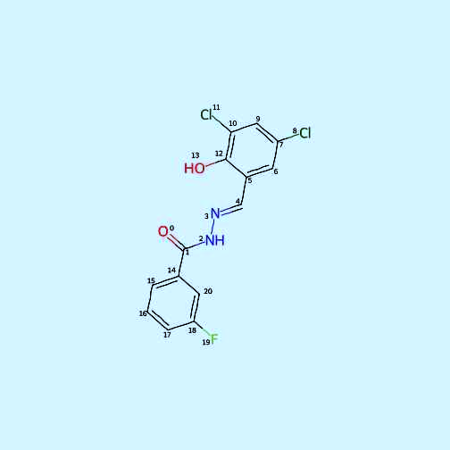 O=C(N/N=C/c1cc(Cl)cc(Cl)c1O)c1cccc(F)c1